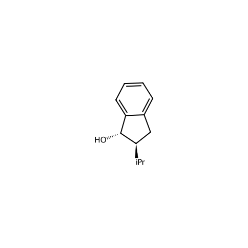 CC(C)[C@@H]1Cc2ccccc2[C@H]1O